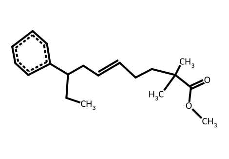 CCC(C/C=C/CCC(C)(C)C(=O)OC)c1ccccc1